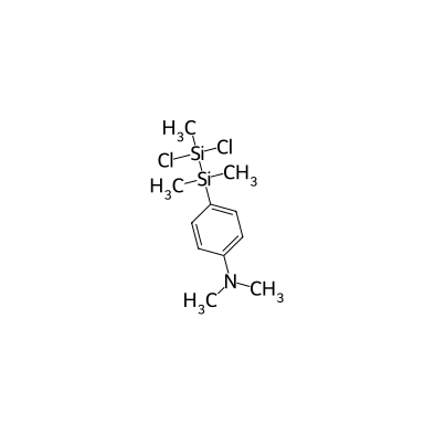 CN(C)c1ccc([Si](C)(C)[Si](C)(Cl)Cl)cc1